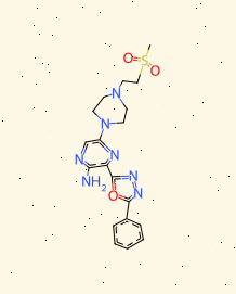 CS(=O)(=O)CCN1CCN(c2cnc(N)c(-c3nnc(-c4ccccc4)o3)n2)CC1